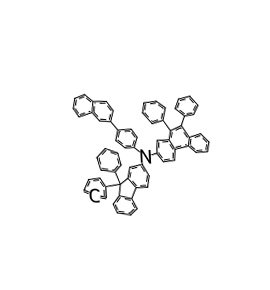 c1ccc(-c2c(-c3ccccc3)c3cc(N(c4ccc(-c5ccc6ccccc6c5)cc4)c4ccc5c(c4)C(c4ccccc4)(c4ccccc4)c4ccccc4-5)ccc3c3ccccc23)cc1